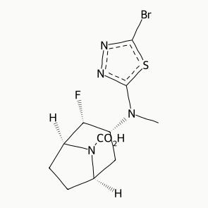 CN(c1nnc(Br)s1)[C@@H]1C[C@H]2CC[C@@H]([C@@H]1F)N2C(=O)O